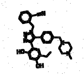 CCc1cc(-c2nnn(Cc3ccccc3C#N)c2-c2ccc(CN3CCN(C)CC3)cc2)c(O)cc1O